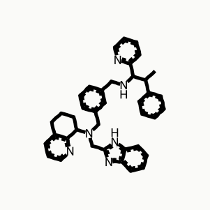 CC(c1ccccc1)C(NCc1cccc(CN(Cc2nc3ccccc3[nH]2)C2CCCc3cccnc32)c1)c1ccccn1